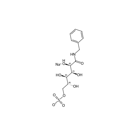 O=C(NCc1ccccc1)[C@H](O)[C@@H](O)[C@H](O)[C@H](O)COS(=O)(=O)[O-].[Na+]